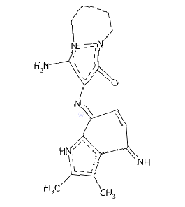 Cc1[nH]c2c(c1C)C(=N)C=C/C2=N\c1c(N)n2n(c1=O)CCCC2